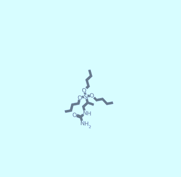 CCCCO[Si](OCCCC)(OCCCC)C(C)CNC(N)=O